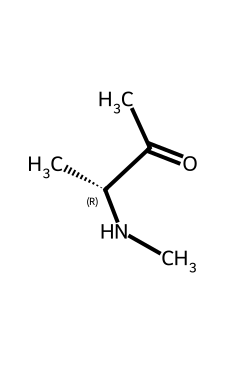 CN[C@H](C)C(C)=O